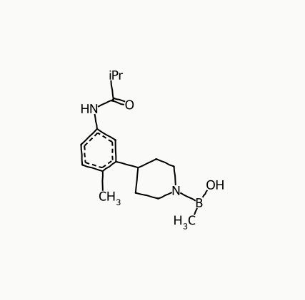 CB(O)N1CCC(c2cc(NC(=O)C(C)C)ccc2C)CC1